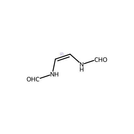 O=CN/C=C\NC=O